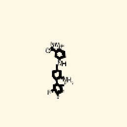 CNC(=O)c1cccc(NCC2=CCC(c3cc(F)c(F)cc3F)C(N)C2)c1